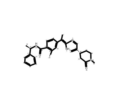 C=C(/C=N\C(N)=C(/C)c1ccc(C(=O)N[C@H](C)c2ccccc2)c(F)c1)[C@@H]1CCN(C)C(=O)C1